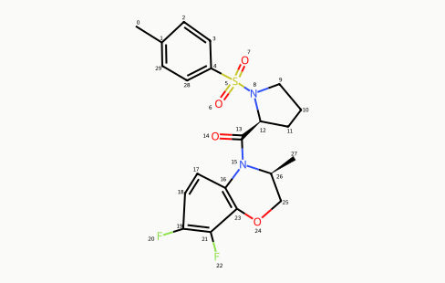 Cc1ccc(S(=O)(=O)N2CCC[C@H]2C(=O)N2c3ccc(F)c(F)c3OC[C@@H]2C)cc1